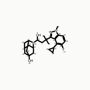 Cn1nc(C(C)(C)CC(O)N2C3CC4CC2CC(O)(C4)C3)c2c(C3CC3)c(F)ccc21